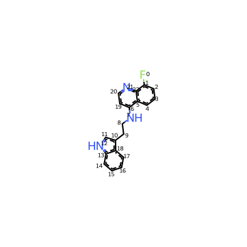 Fc1cccc2c(NCCc3c[nH]c4ccccc34)ccnc12